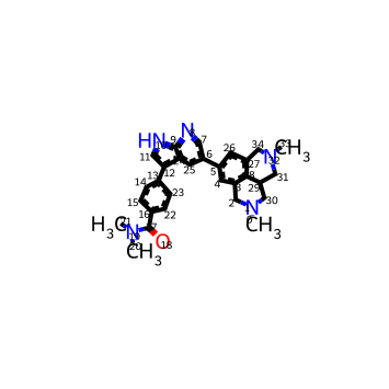 CN1Cc2cc(-c3cnc4[nH]cc(-c5ccc(C(=O)N(C)C)cc5)c4c3)cc3c2C(C1)CN(C)C3